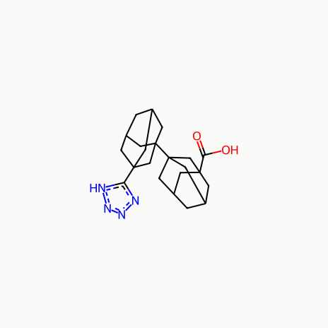 O=C(O)C12CC3CC(C1)CC(C14CC5CC(CC(c6nnn[nH]6)(C5)C1)C4)(C3)C2